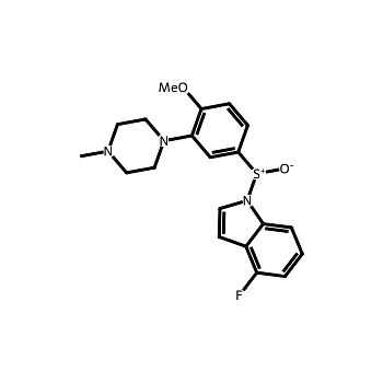 COc1ccc([S+]([O-])n2ccc3c(F)cccc32)cc1N1CCN(C)CC1